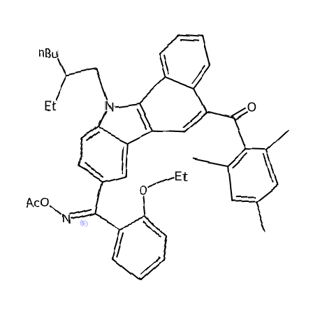 CCCCC(CC)Cn1c2ccc(/C(=N\OC(C)=O)c3ccccc3OCC)cc2c2cc(C(=O)c3c(C)cc(C)cc3C)c3ccccc3c21